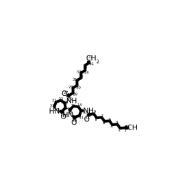 C#CCCCCCCCCC(=O)NC1CC[C@@H](C2C(=O)NCCC[C@@H]2NC(=O)CCCCCCCCC=C)NC(=O)C1